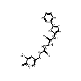 C=C(O)/C(O)=C\C(=C/C)CCC(=O)NNC(=S)Nc1ccc(-c2ccccc2)s1